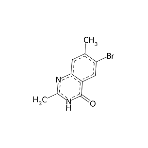 Cc1nc2cc(C)c(Br)cc2c(=O)[nH]1